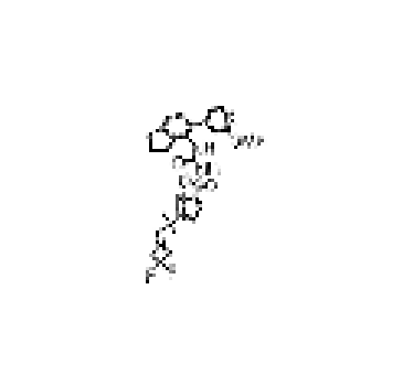 COc1cc(-c2ccc3c(c2NC(=O)NS(=O)(=O)c2ccn(C(C)(C)CN4CC(F)(F)C4)n2)CCC3)ccn1